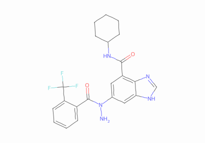 NN(C(=O)c1ccccc1C(F)(F)F)c1cc(C(=O)NC2CCCCC2)c2nc[nH]c2c1